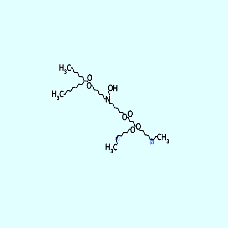 CC/C=C\CCCCOC(CCC(=O)OCCCCCCN(CCO)CCCCCCOC(=O)C(CCCCCC)CCCCCCCC)OCCCC/C=C\CC